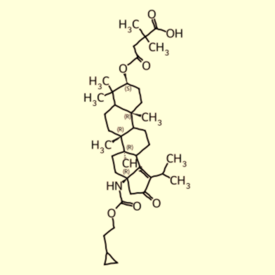 CC(C)C1=C2C3CCC4[C@@]5(C)CC[C@H](OC(=O)CC(C)(C)C(=O)O)C(C)(C)C5CC[C@@]4(C)[C@]3(C)CC[C@@]2(NC(=O)OCCC2CC2)CC1=O